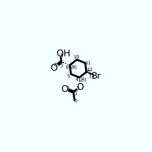 CC(=O)O[C@@H]1C[C@H](C(=O)O)CC[C@H]1Br